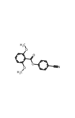 COc1cccc(OC)c1C(=O)Oc1ccc(C#N)cc1